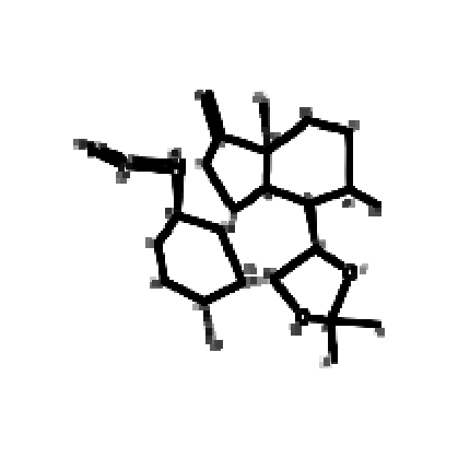 C=C1CCC2C([C@H]3OC(C)(C)O[C@@H]3C3C[C@H](N=[N+]=[N-])CC[C@H]3C)C(C)CC[C@]12C